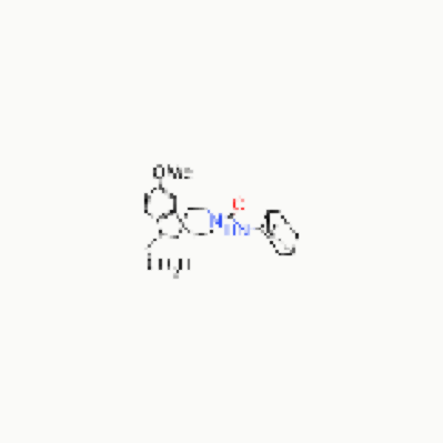 COc1ccc2c(c1)C1(CCN(C(=O)NC3C4CC5CC(C4)CC3C5)CC1)CC2CC(=O)O